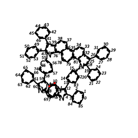 c1ccc(-c2nc3ccccn3c2-c2ccc(-n3c(-c4ccccc4)c(-c4ccccc4)c4ccc5c6ccc7c(-c8ccccc8)c(-c8ccccc8)n(-c8ccc(-c9c(-c%10ccccc%10)nc%10ccccn9%10)cc8)c7c6ccc5c43)cc2)cc1